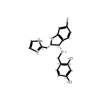 Fc1ccc2c(c1)S[C@@H](Cc1ncc[nH]1)[C@H]2OCc1ccc(Cl)cc1Cl